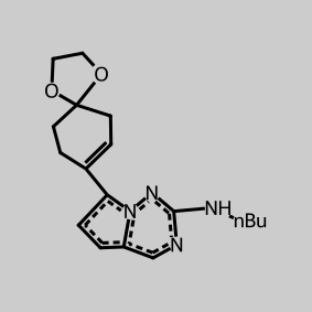 CCCCNc1ncc2ccc(C3=CCC4(CC3)OCCO4)n2n1